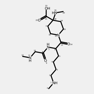 CNCCCCC(NC(=O)CNC)C(=O)N1CCC(NC)(C(=O)O)CC1